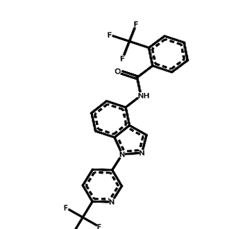 O=C(Nc1cccc2c1cnn2-c1ccc(C(F)(F)F)nc1)c1ccccc1C(F)(F)F